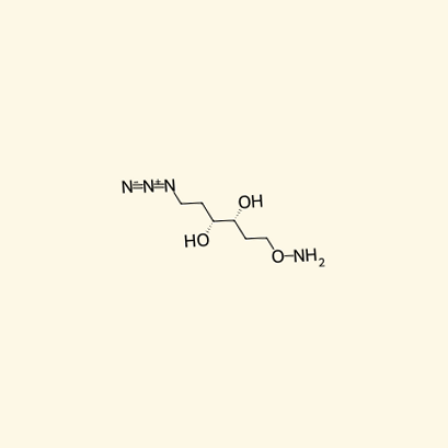 [N-]=[N+]=NCC[C@@H](O)[C@H](O)CCON